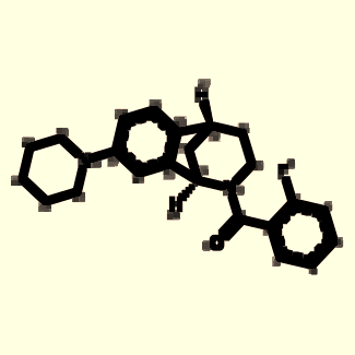 O=C(c1ccccc1F)N1CC[C@@H]2C[C@@H]1c1cc(N3CCCCC3)ccc12